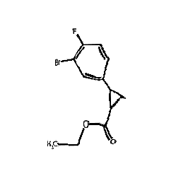 CCOC(=O)C1CC1c1ccc(F)c(Br)c1